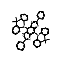 CC1(C)c2ccccc2N(c2c3nc(-c4ccccc4)sc3c(N3c4ccccc4C(C)(C)c4ccccc43)c3nc(-c4ccccc4)oc23)c2ccccc21